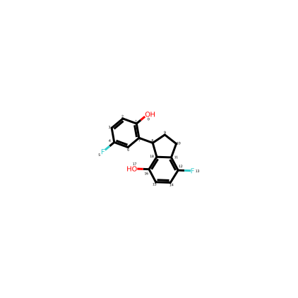 Oc1ccc(F)cc1C1CCc2c(F)ccc(O)c21